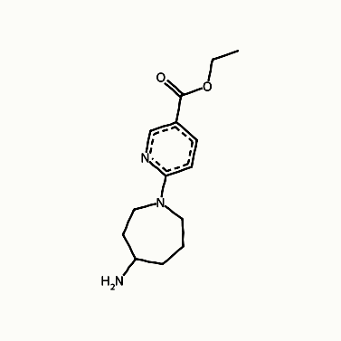 CCOC(=O)c1ccc(N2CCCC(N)CC2)nc1